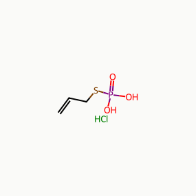 C=CCSP(=O)(O)O.Cl